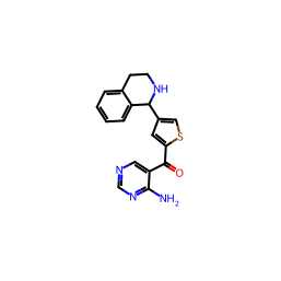 Nc1ncncc1C(=O)c1cc(C2NCCc3ccccc32)cs1